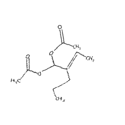 CC=C(CCC)C(OC(C)=O)OC(C)=O